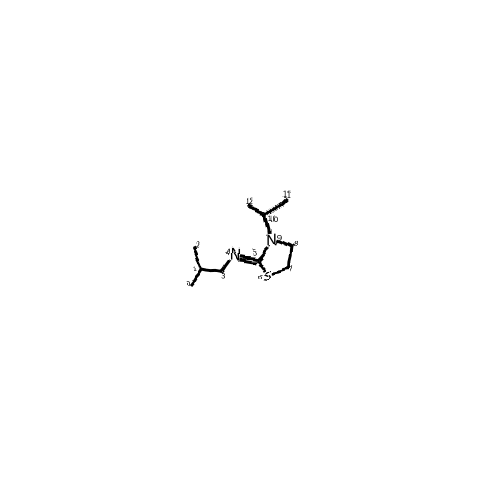 CC(C)C/N=C1\SCCN1C(C)C